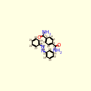 NC(=O)c1ccc(C(N)=O)cc1.c1ccc(N=Nc2ccccc2)cc1